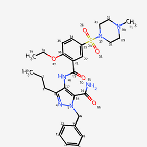 CCCc1nn(Cc2ccccc2)c(C(N)=O)c1NC(=O)c1cc(S(=O)(=O)N2CCN(C)CC2)ccc1OCC